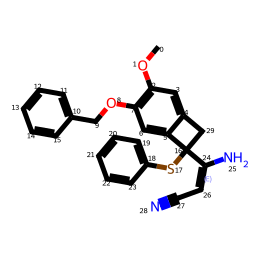 COc1cc2c(cc1OCc1ccccc1)C(Sc1ccccc1)(/C(N)=C\C#N)C2